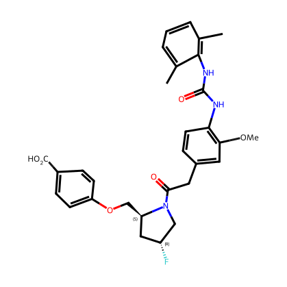 COc1cc(CC(=O)N2C[C@H](F)C[C@H]2COc2ccc(C(=O)O)cc2)ccc1NC(=O)Nc1c(C)cccc1C